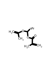 C=C(C)OC(CCC)OC(=O)C(=C)C